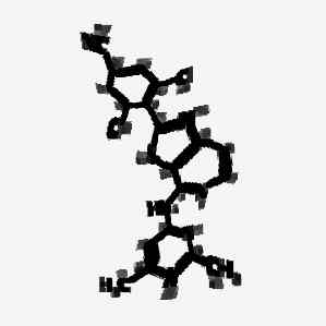 Cc1cc(Nc2nccc3nc(-c4c(Cl)cc(C#N)cc4Cl)sc23)nc(C)n1